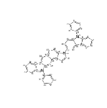 c1ccc(-n2c3ccccc3c3cc(-n4ccc5c6cc7c(cc6ccc54)c4ccccc4n7-c4ccccc4)ccc32)cc1